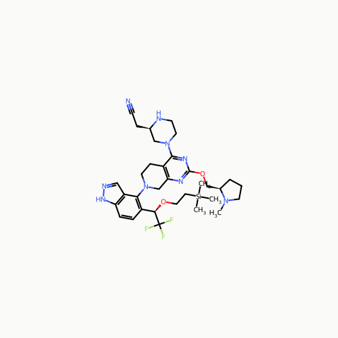 CN1CCC[C@@H]1COc1nc2c(c(N3CCN[C@H](CC#N)C3)n1)CCN(c1c([C@@H](OCC[Si](C)(C)C)C(F)(F)F)ccc3[nH]ncc13)C2